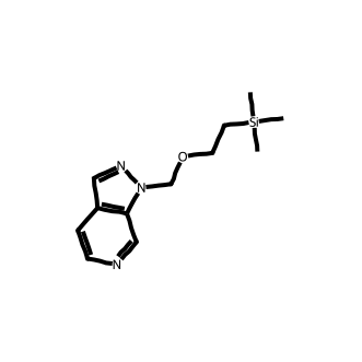 C[Si](C)(C)CCOCn1ncc2ccncc21